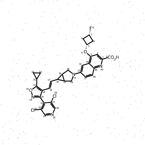 O=C(O)c1cc(O[C@H]2C[C@@H](F)C2)c2cc(N3CC4C(/C=C/c5c(-c6c(Cl)cncc6Cl)noc5C5CC5)C4C3)ccc2n1